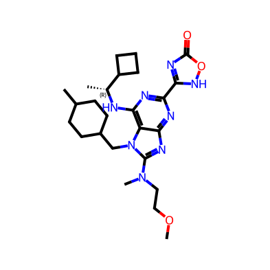 COCCN(C)c1nc2nc(-c3nc(=O)o[nH]3)nc(N[C@H](C)C3CCC3)c2n1CC1CCC(C)CC1